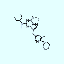 CCC(CC)Nc1nc(N)c2ncc(Cc3cnc(N4CCCCC4)c(C)c3)n2n1